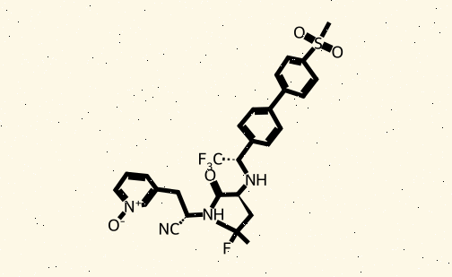 CC(C)(F)C[C@H](N[C@@H](c1ccc(-c2ccc(S(C)(=O)=O)cc2)cc1)C(F)(F)F)C(=O)N[C@H](C#N)Cc1ccc[n+]([O-])c1